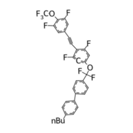 CCCCc1ccc(-c2ccc(C(F)(F)Oc3cc(F)c(C#Cc4cc(F)c(OC(F)(F)F)c(F)c4)c(F)c3)cc2)cc1